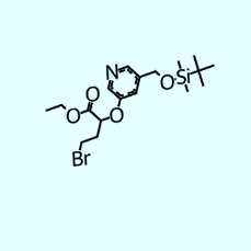 CCOC(=O)C(CCBr)Oc1cncc(CO[Si](C)(C)C(C)(C)C)c1